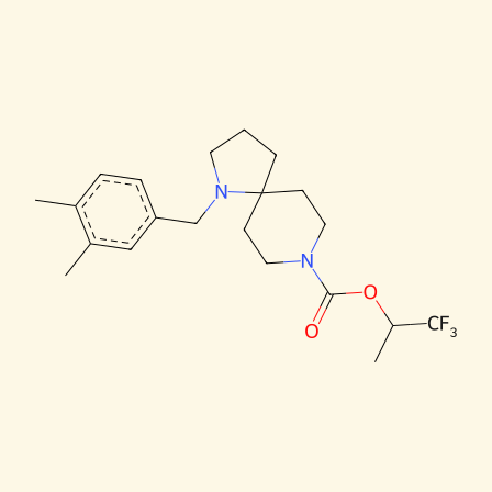 Cc1ccc(CN2CCCC23CCN(C(=O)OC(C)C(F)(F)F)CC3)cc1C